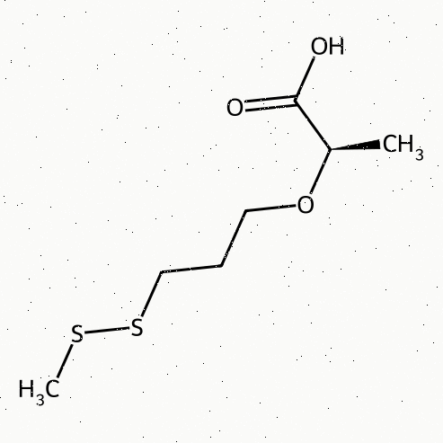 CSSCCCO[C@H](C)C(=O)O